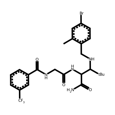 Cc1cc(Br)ccc1CNC(C(NC(=O)CNC(=O)c1cccc(C(F)(F)F)c1)C(N)=O)C(C)(C)C